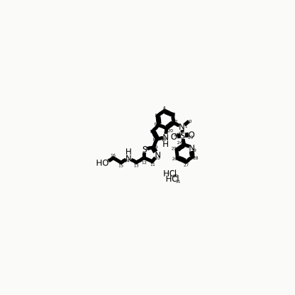 CN(c1cccc2cc(C3=NCC(CNCCO)S3)[nH]c12)S(=O)(=O)c1ccccn1.Cl.Cl